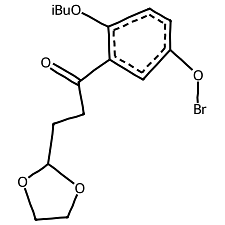 CC(C)COc1ccc(OBr)cc1C(=O)CCC1OCCO1